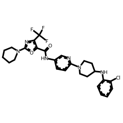 O=C(Nc1ccc(N2CCC(Nc3ccccc3Cl)CC2)nc1)c1oc(N2CCCCC2)nc1C(F)(F)F